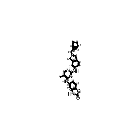 Cc1cnc(Nc2ccc3c(c2)CN(CC2CC4CCC2C4)C3)nc1Nc1ccc2oc(=O)[nH]c2c1